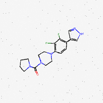 O=C(N1CCCC1)N1CCN(c2ccc(-c3cn[nH]c3)c(F)c2F)CC1